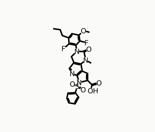 CCCc1cc(OC)c(F)c(N2Cc3cnc4c(cc(C(=O)O)n4S(=O)(=O)c4ccccc4)c3N(C)C2=O)c1F